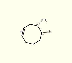 CC[C@@H]1CCC/C=C\C[C@@H]1N